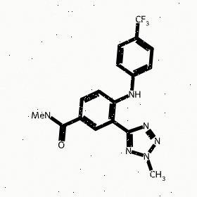 CNC(=O)c1ccc(Nc2ccc(C(F)(F)F)cc2)c(-c2nnn(C)n2)c1